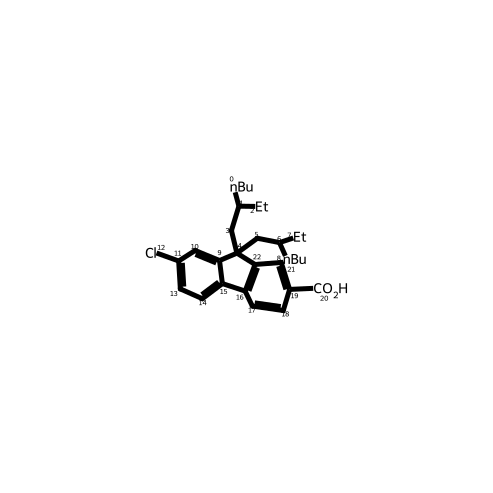 CCCCC(CC)CC1(CC(CC)CCCC)c2cc(Cl)ccc2-c2ccc(C(=O)O)cc21